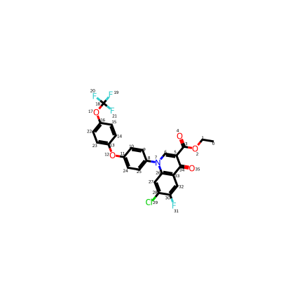 CCOC(=O)c1cn(-c2ccc(Oc3ccc(OC(F)(F)F)cc3)cc2)c2cc(Cl)c(F)cc2c1=O